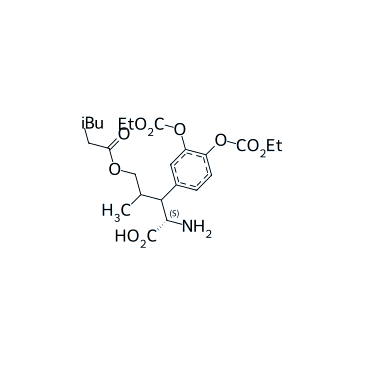 CCOC(=O)Oc1ccc(C(C(C)COC(=O)CC(C)CC)[C@H](N)C(=O)O)cc1OC(=O)OCC